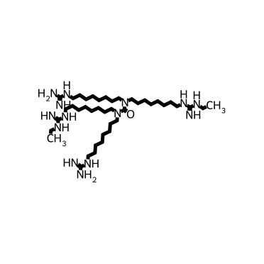 CCNC(=N)NCCCCCCCCN(CCCCCCCCNC(=N)N)C(=O)N(CCCCCCCCNC(=N)N)CCCCCCCCNC(=N)NCC